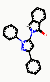 O=c1c2ccccc2[se]n1-c1cc(-c2ccccc2)nn1-c1ccccc1